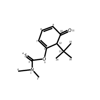 CN(C)C(=S)OC1=CC=CC(=O)C1C(C)(C)C